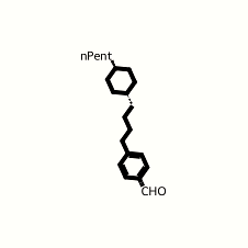 CCCCC[C@H]1CC[C@H](CCCCc2ccc(C=O)cc2)CC1